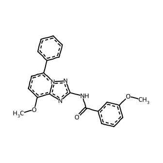 COc1cccc(C(=O)Nc2nc3c(OC)ccc(-c4ccccc4)n3n2)c1